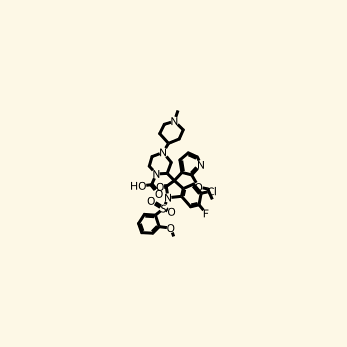 CCOc1ncccc1C1(C2CN(C3CCN(C)CC3)CCN2C(=O)O)C(=O)N(S(=O)(=O)c2ccccc2OC)c2cc(F)c(Cl)cc21